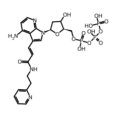 Nc1ccnc2c1c(/C=C/C(=O)NCCc1ccccn1)cn2[C@H]1CC(O)[C@@H](COP(=O)(O)OP(=O)(O)OP(=O)(O)O)O1